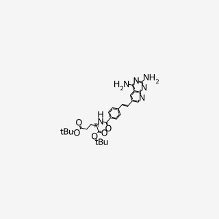 CC(C)(C)OC(=O)CC[C@@H](NC(=O)c1ccc(C=Cc2cnc3nc(N)nc(N)c3c2)cc1)C(=O)OC(C)(C)C